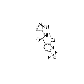 O=C(Nc1ccn[nH]1)c1ccc(C(F)(F)F)nc1Cl